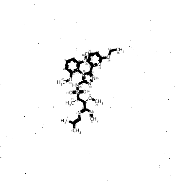 C=N/C(=N\C=C(C)C)[C@@H](OC)[C@H](C)S(=O)(=O)Nc1nnc(-c2cccc(OCC)n2)n1-c1c(OC)cccc1OC